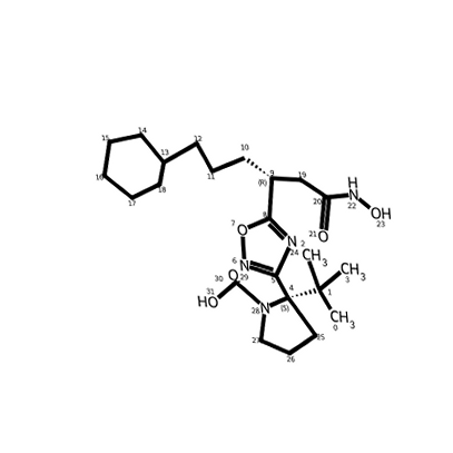 CC(C)(C)[C@]1(c2noc([C@H](CCCC3CCCCC3)CC(=O)NO)n2)CCCN1C(=O)O